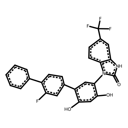 O=c1[nH]c2cc(C(F)(F)F)ccc2n1-c1cc(-c2ccc(-c3ccccc3)c(F)c2)c(O)cc1O